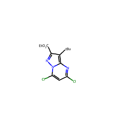 CCOC(=O)c1nn2c(Cl)cc(Cl)nc2c1C(C)(C)C